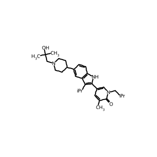 Cc1cc(-c2[nH]c3ccc(C4CCN(CC(C)(C)O)CC4)cc3c2C(C)C)cn(CC(C)C)c1=O